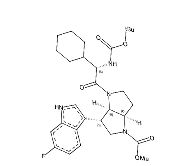 COC(=O)N1C[C@H](c2c[nH]c3cc(F)ccc23)[C@@H]2[C@H]1CCN2C(=O)[C@@H](NC(=O)OC(C)(C)C)C1CCCCC1